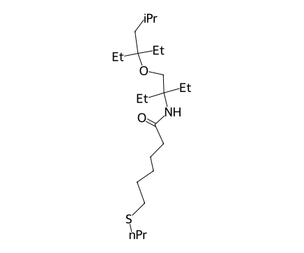 CCCSCCCCCC(=O)NC(CC)(CC)COC(CC)(CC)CC(C)C